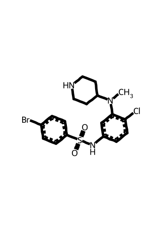 CN(c1cc(NS(=O)(=O)c2ccc(Br)cc2)ccc1Cl)C1CCNCC1